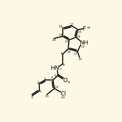 C=C/C=C\C(C(=O)NCCc1c(C)[nH]c2c(F)ccc(C)c12)=C(/C)Cl